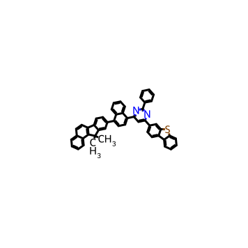 CC1(C)c2cc(-c3ccc(-c4cc(-c5ccc6c(c5)sc5ccccc56)nc(-c5ccccc5)n4)c4ccccc34)ccc2-c2ccc3ccccc3c21